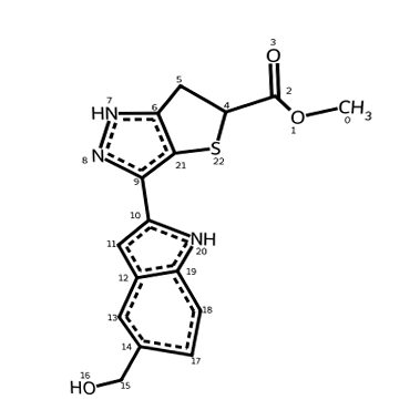 COC(=O)C1Cc2[nH]nc(-c3cc4cc(CO)ccc4[nH]3)c2S1